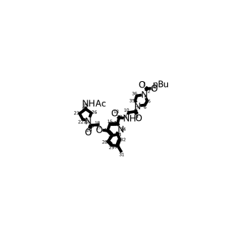 CCCCOC(=O)N1CCN(C(=O)CNC(=O)c2cc(OCC(=O)N3CC[C@@H](NC(C)=O)C3)c3ccc(C)cc3n2)CC1